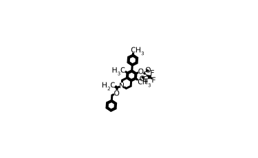 C=C(OCc1ccccc1)N1CCc2c(C)c(OS(=O)(=O)C(F)(F)F)c(-c3ccc(C)cc3)c(C)c2C1